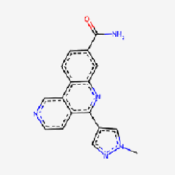 Cn1cc(-c2nc3cc(C(N)=O)ccc3c3cnccc23)cn1